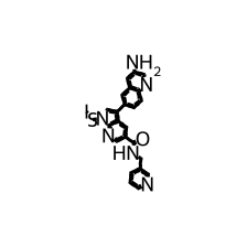 Nc1cnc2ccc(-c3cn(SI)c4ncc(C(=O)NCc5cccnc5)cc34)cc2c1